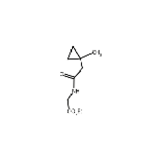 CCOC(=O)CNC(=O)CC1(C)CC1